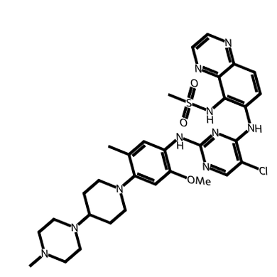 COc1cc(N2CCC(N3CCN(C)CC3)CC2)c(C)cc1Nc1ncc(Cl)c(Nc2ccc3nccnc3c2NS(C)(=O)=O)n1